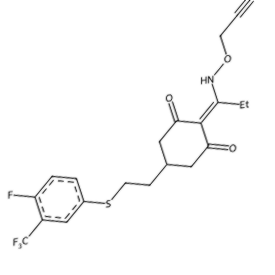 C#CCONC(CC)=C1C(=O)CC(CCSc2ccc(F)c(C(F)(F)F)c2)CC1=O